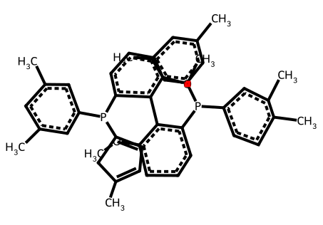 COc1cccc(P(C2=CC=C(C)C2)c2cc(C)cc(C)c2)c1-c1c(OC)cccc1P(c1cc(C)cc(C)c1)c1ccc(C)c(C)c1